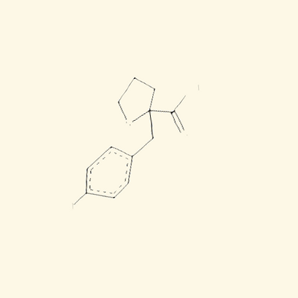 O=C(O)C1(Cc2ccc(Cl)cc2)CCCN1